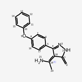 C=c1[nH]nc(-c2ccc(Oc3ccccc3)cc2)/c1=C(/C)N